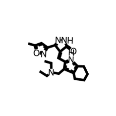 CCN(CC)Cc1c(C=C2C(=O)NN=C2c2cc(C)on2)[nH]c2c1CCCC2